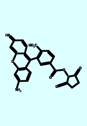 N=c1ccc2c(-c3cc(C(=O)ON4C(=O)CCC4=O)ccc3C(=O)O)c3ccc(N)cc3oc-2c1